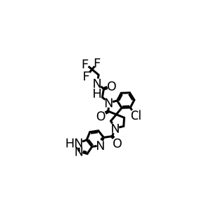 O=C(CN1C(=O)C2(CCN(C(=O)c3ccc4[nH]ncc4n3)C2)c2c(Cl)cccc21)NCC(F)(F)F